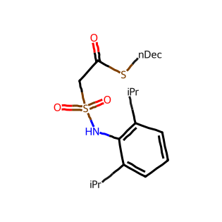 CCCCCCCCCCSC(=O)CS(=O)(=O)Nc1c(C(C)C)cccc1C(C)C